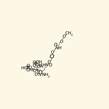 CCOCCOCCC(=O)NCCOc1ccc(COC(=O)NCCCc2cn([C@@H]3O[C@H](COP(=O)(O)O)C(OP(=O)(O)O)C3O)c(=O)nc2N)cc1